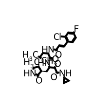 CC(C)(C)CC(NC(=O)/C=C/c1ccc(F)cc1Cl)C(=O)NC(C[C@@H]1CCNC1=O)C(=O)C(=O)NC1CC1